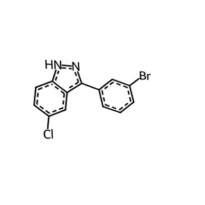 Clc1ccc2[nH]nc(-c3cccc(Br)c3)c2c1